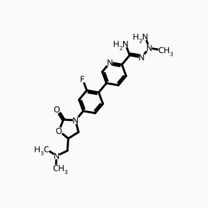 CN(C)CC1CN(c2ccc(-c3ccc(/C(N)=N/N(C)N)nc3)c(F)c2)C(=O)O1